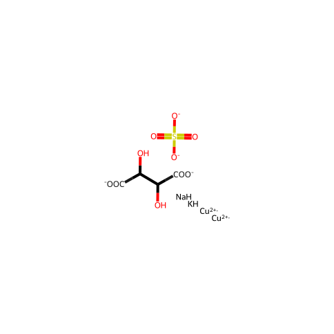 O=C([O-])C(O)C(O)C(=O)[O-].O=S(=O)([O-])[O-].[Cu+2].[Cu+2].[KH].[NaH]